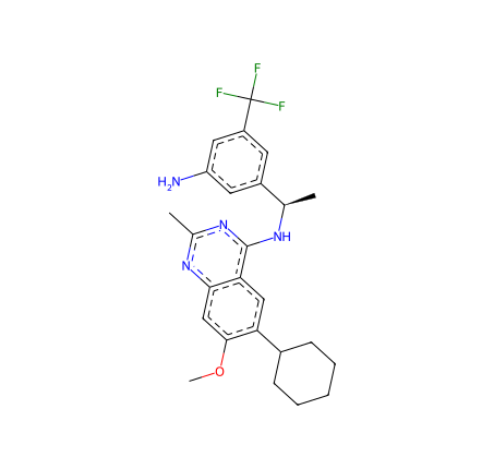 COc1cc2nc(C)nc(N[C@H](C)c3cc(N)cc(C(F)(F)F)c3)c2cc1C1CCCCC1